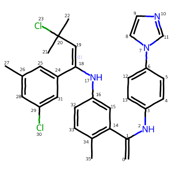 C=C(Nc1ccc(-n2ccnc2)cc1)c1cc(N/C(=C/C(C)(C)Cl)c2cc(C)cc(Cl)c2)ccc1C